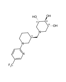 O[C@H]1[C@H](O)CN(C[C@@H]2CCCN(c3ccc(C(F)(F)F)cn3)C2)C[C@@H]1O